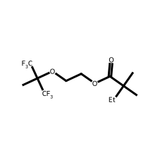 CCC(C)(C)C(=O)OCCOC(C)(C(F)(F)F)C(F)(F)F